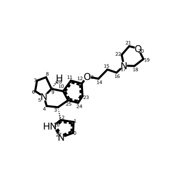 c1cc([C@@H]2CN3CCC[C@H]3c3cc(OCCCN4CCOCC4)ccc32)[nH]n1